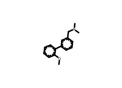 COc1c[c]ccc1-c1cccc(CN(C)C)c1